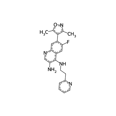 Cc1noc(C)c1-c1cc2ncc(N)c(NCCc3ccccn3)c2cc1F